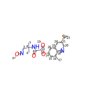 CON=CC(C)(C)NC(=O)C(OC)Oc1cc(C)c2ncc(SC)cc2c1